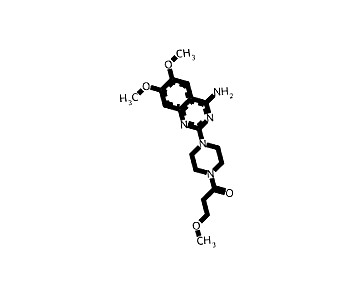 COCCC(=O)N1CCN(c2nc(N)c3cc(OC)c(OC)cc3n2)CC1